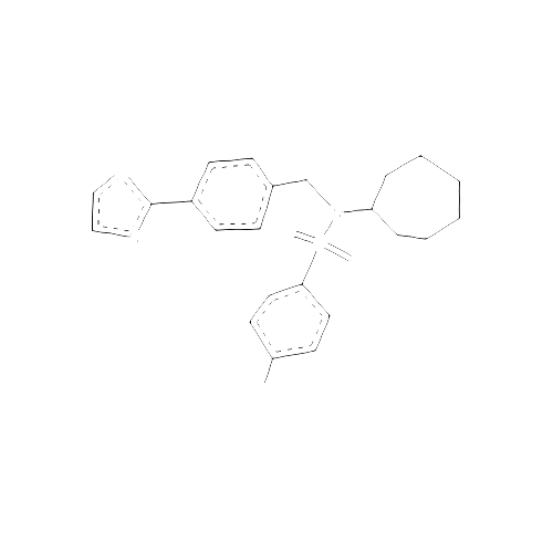 O=S(=O)(c1ccc(Cl)cc1)N(Cc1ccc(-c2ncco2)cc1)C1CCCCCC1